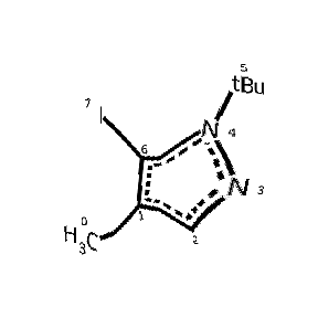 Cc1cnn(C(C)(C)C)c1I